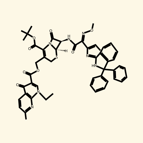 CCn1cc(C(=O)OCC2=C(C(=O)OC(C)(C)C)N3C(=O)[C@@H](NC(=O)C(=NOC)c4csc(NC(c5ccccc5)(c5ccccc5)c5ccccc5)n4)[C@H]3SC2)c(=O)c2ccc(C)nc21